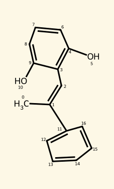 CC(=Cc1c(O)cccc1O)c1ccccc1